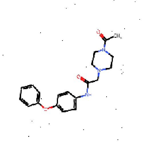 CC(=O)N1CCN(CC(=O)Nc2ccc(Oc3ccccc3)cc2)CC1